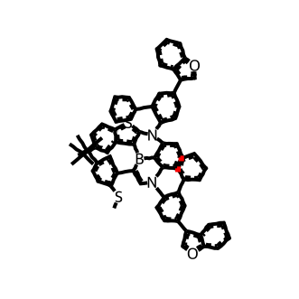 CSc1ccc(C(C)(C)C)cc1C1=CN(c2ccc(-c3coc4ccccc34)cc2-c2ccccc2)c2cccc3c2B1c1c(sc2ccc(C(C)(C)C)cc12)N3c1ccc(-c2coc3ccccc23)cc1-c1ccccc1